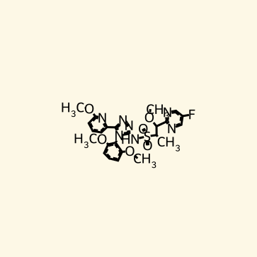 COc1cccc(-c2nnc(NS(=O)(=O)C(C)C(OC)c3ncc(F)cn3)n2-c2c(OC)cccc2OC)n1